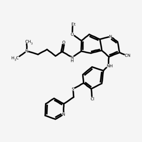 CCOc1cc2ncc(C#N)c(Nc3ccc(SCc4ccccn4)c(Cl)c3)c2cc1NC(=O)CCCN(C)C